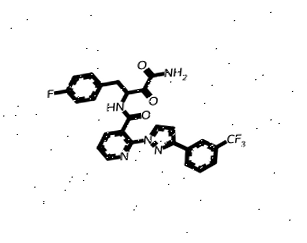 NC(=O)C(=O)C(Cc1ccc(F)cc1)NC(=O)c1cccnc1-n1ccc(-c2cccc(C(F)(F)F)c2)n1